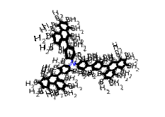 Bc1cc(N(c2cc(B)c(-c3c(B)c4c(B)c(B)c(B)c(B)c4c4c(B)c(B)c(B)c(B)c34)cc2B)c2cc(B)c(-c3c(B)cc(-c4c(B)c5c(B)c(B)c(B)c(B)c5c5c(B)c(B)c(B)c(B)c45)c(B)c3B)c(B)c2B)c(B)cc1-c1c(B)c2c(B)c(B)c(B)c(B)c2c2c(B)c(B)c(B)c(B)c12